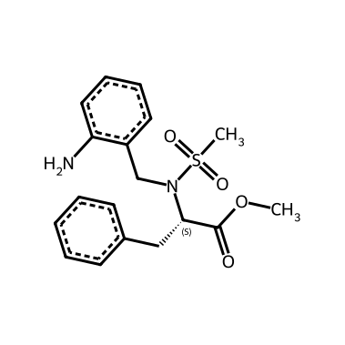 COC(=O)[C@H](Cc1ccccc1)N(Cc1ccccc1N)S(C)(=O)=O